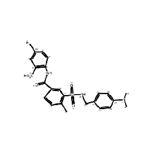 Cc1ccc(C(=O)Nc2ccc(Br)cc2C(=O)O)cc1S(=O)(=O)NCc1ccc(N(C)C)cc1